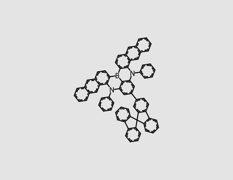 c1ccc(N2c3cc(-c4ccc5c(c4)C4(c6ccccc6-c6ccccc64)c4ccccc4-5)cc4c3B(c3ccc5cc6ccccc6cc5c32)c2ccc3cc5ccccc5cc3c2N4c2ccccc2)cc1